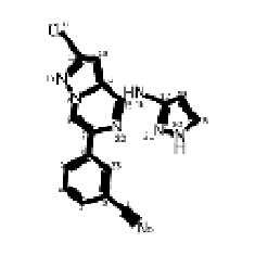 N#Cc1cccc(-c2cn3nc(Cl)cc3c(Nc3cc[nH]n3)n2)c1